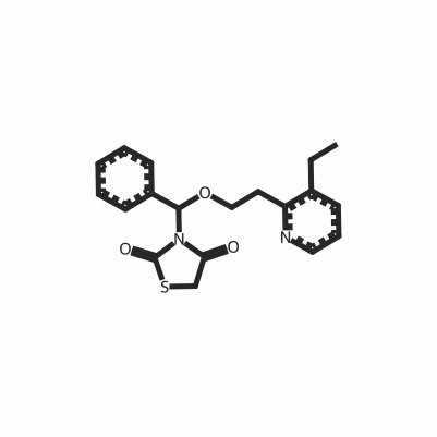 CCc1cccnc1CCOC(c1ccccc1)N1C(=O)CSC1=O